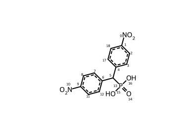 O=[N+]([O-])c1ccc(C(c2ccc([N+](=O)[O-])cc2)P(=O)(O)O)cc1